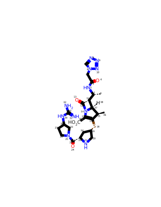 C[C@@H](NC(=O)Cn1cnnn1)[C@H]1C(=O)N2C(C(=O)O)=C(S[C@@H]3CN[C@H](C(=O)N4CCC(NC(=N)N)C4)C3)[C@H](C)[C@H]12